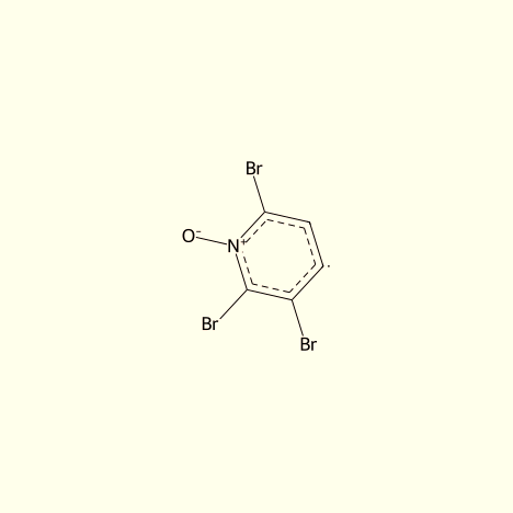 [O-][n+]1c(Br)c[c]c(Br)c1Br